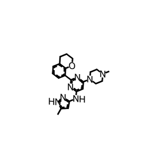 Cc1cc(Nc2cc(N3CCN(C)CC3)nc(-c3cccc4c3OCCC4)n2)n[nH]1